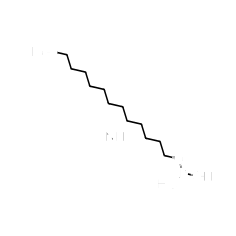 CCCCCCCCCCCCCCCCCCCCCCOP(O)O.N